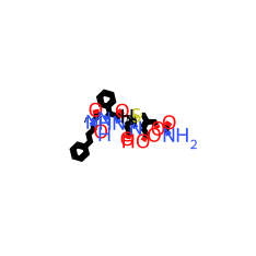 CN(C(=O)CCc1ccccc1)C(=O)NC(C(=O)NC1C(=O)N2C(C(=O)O)=C(COC(N)=O)CS[C@@H]12)c1ccccc1